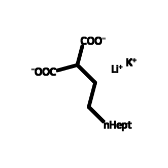 CCCCCCCCCC(C(=O)[O-])C(=O)[O-].[K+].[Li+]